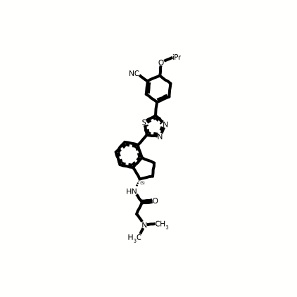 CC(C)OC1CC=C(c2nnc(-c3cccc4c3CC[C@@H]4NC(=O)CN(C)C)s2)C=C1C#N